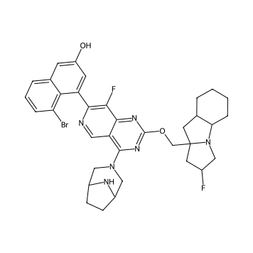 Oc1cc(-c2ncc3c(N4CC5CCC(C4)N5)nc(OCC45CC(F)CN4C4CCCCC4C5)nc3c2F)c2c(Br)cccc2c1